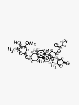 CO[C@@H]1C[C@H](O[C@H]2CC[C@@]3(C)[C@H](CC[C@@H]4[C@@H]3CC[C@]3(C)[C@@H](C5=CC(=O)OC5)[C@@H](OC(=O)CC(C)C)C[C@]43O)C2)O[C@H](C)[C@@H]1O